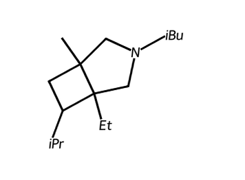 CCC(C)N1CC2(C)CC(C(C)C)C2(CC)C1